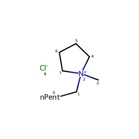 CCCCCC[N+]1(C)CCCC1.[Cl-]